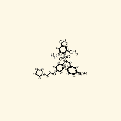 Cc1cc(C)c(S(=O)(=O)N(Cc2cccc(O)c2)c2ccc(OCCN3CCCC3)cc2)c(C)c1